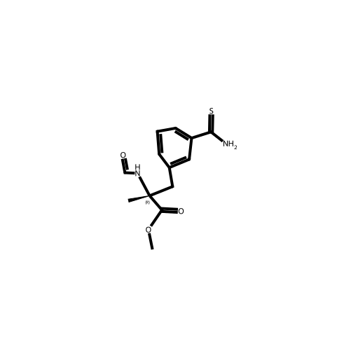 COC(=O)[C@@](C)(Cc1cccc(C(N)=S)c1)NC=O